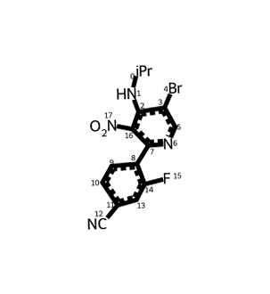 CC(C)Nc1c(Br)cnc(-c2ccc(C#N)cc2F)c1[N+](=O)[O-]